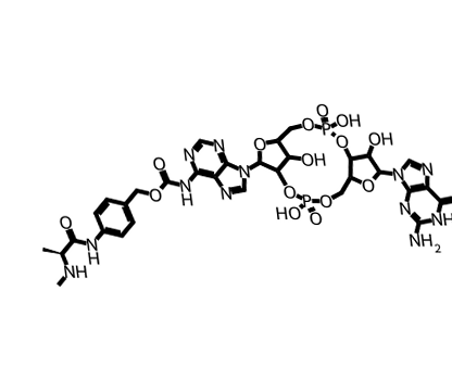 CN[C@@H](C)C(=O)Nc1ccc(COC(=O)Nc2ncnc3c2ncn3C2OC3COP(=O)(O)OC4C(COP(=O)(O)OC2C3O)OC(n2cnc3c(=O)[nH]c(N)nc32)C4O)cc1